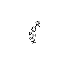 Cc1ncsc1-c1ccc(C2(NC(=O)OC(C)(C)C)CC2)cc1